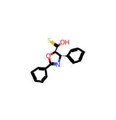 OC(=S)[C@@H]1OC(c2ccccc2)=N[C@H]1c1ccccc1